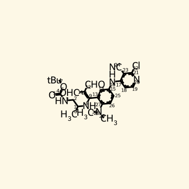 CC(CNC(=O)OC(C)(C)C)NC(=C(C=O)C=O)c1cc(Nc2ccnc(Cl)c2C#N)ccc1N(C)C